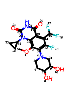 COc1c(N2CCC(O)C(O)C2)c(F)c(C(F)F)c2c(=O)[nH]c(=O)n(C3CC3)c12